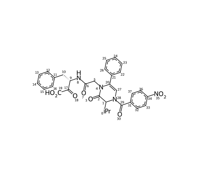 CC(C)C1C(=O)N(CC(=O)N[C@@H](Cc2ccccc2)C(=O)C(=O)O)C(c2ccccc2)=CN1C(=O)c1ccc([N+](=O)[O-])cc1